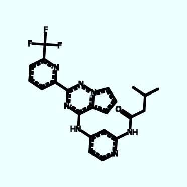 CC(C)CC(=O)Nc1cc(Nc2nc(-c3cccc(C(F)(F)F)n3)nn3cccc23)ccn1